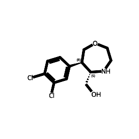 OC[C@H]1NCCOC[C@@H]1c1ccc(Cl)c(Cl)c1